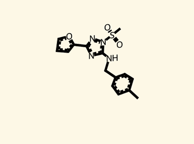 Cc1ccc(CNc2nc(-c3ccco3)nn2S(C)(=O)=O)cc1